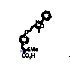 CS/C(=C\c1ccc(OCCc2nc(-c3ccccc3)oc2C)cc1)C(=O)O